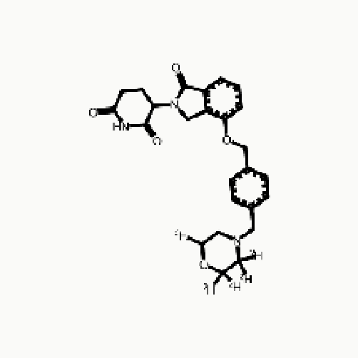 [2H]C1CN(Cc2ccc(COc3cccc4c3CN(C3CCC(=O)NC3=O)C4=O)cc2)C([2H])([2H])C([2H])([2H])O1